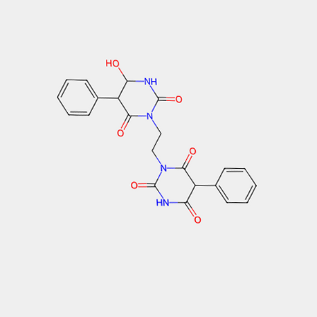 O=C1NC(=O)N(CCN2C(=O)NC(O)C(c3ccccc3)C2=O)C(=O)C1c1ccccc1